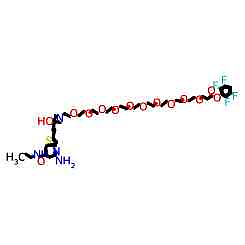 CCCNC(=O)C1=Cc2sc(C#CC3(O)CN(CCOCCOCCOCCOCCOCCOCCOCCOCCOCCOCCC(=O)Oc4c(F)c(F)cc(F)c4F)C3)cc2N=C(N)C1